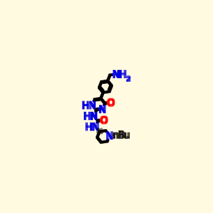 CCCCN1CCC[C@H](NC(=O)Nc2nc(=O)c(-c3ccc(CN)cc3)c[nH]2)C1